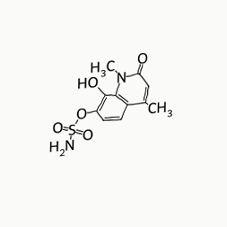 Cc1cc(=O)n(C)c2c(O)c(OS(N)(=O)=O)ccc12